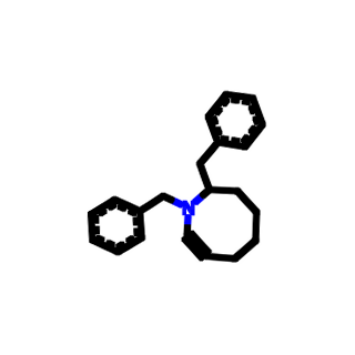 C1#CN(Cc2ccccc2)C(Cc2ccccc2)CCCC1